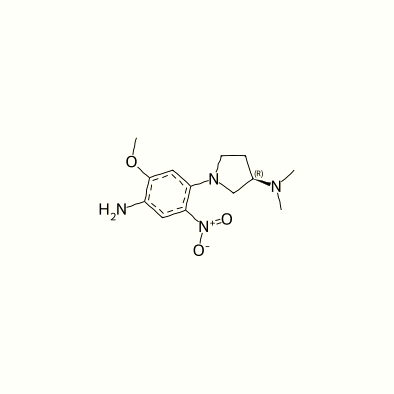 COc1cc(N2CC[C@@H](N(C)C)C2)c([N+](=O)[O-])cc1N